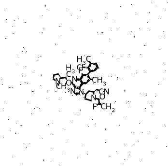 C=C(F)C(=O)N1CC[C@H](n2cnc3c(O[C@@H](C)[C@@H]4CCCN4C)nc4c(F)c(-c5cccc(C)c5Cl)c(C)cc4c32)C[C@H]1CC#N